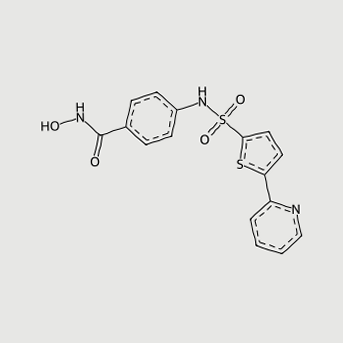 O=C(NO)c1ccc(NS(=O)(=O)c2ccc(-c3ccccn3)s2)cc1